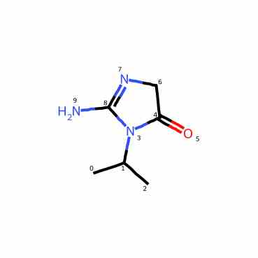 CC(C)N1C(=O)CN=C1N